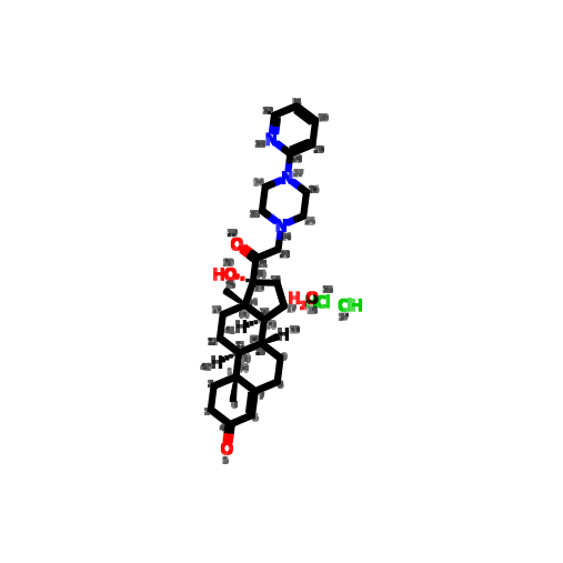 C[C@]12CCC(=O)C=C1CC[C@@H]1[C@@H]2CC[C@@]2(C)[C@H]1CC[C@]2(O)C(=O)CN1CCN(c2ccccn2)CC1.Cl.Cl.O